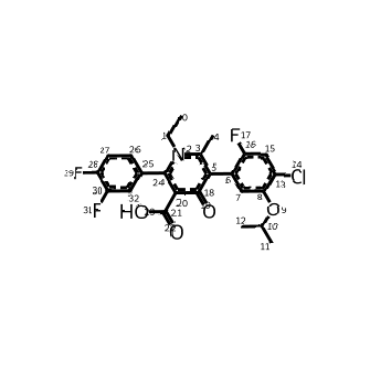 CCn1c(C)c(-c2cc(OC(C)C)c(Cl)cc2F)c(=O)c(C(=O)O)c1-c1ccc(F)c(F)c1